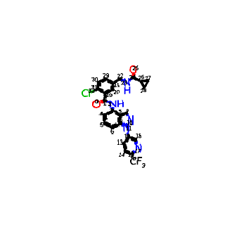 O=C(Nc1cccc2c1cnn2-c1ccc(C(F)(F)F)nc1)c1cc(CNC(=O)C2CC2)ccc1Cl